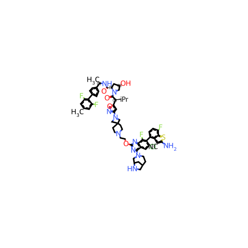 Cc1cc(F)c(-c2ccc([C@H](C)NC(=O)[C@@H]3C[C@@H](O)CN3C(=O)[C@H](c3cc(N4CC5(CCN(CCOc6nc(N7CCC8CNC(C8)C7)c7cc(Cl)c(-c8ccc(F)c9sc(N)c(C#N)c89)c(F)c7n6)CC5)C4)no3)C(C)C)cc2)c(F)c1